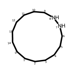 C1CCCCCCNNCCCCCC1